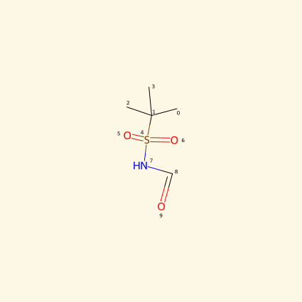 CC(C)(C)S(=O)(=O)NC=O